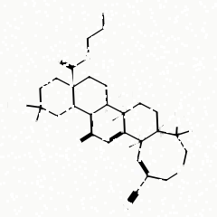 CC1(C)CC[C@]2(C(=O)NCCO)CC[C@]3(C)C(C(=O)C=C4[C@@]5(C)/C=C(/C#N)COCC(C)(C)[C@@H]5CC[C@]43C)C2C1